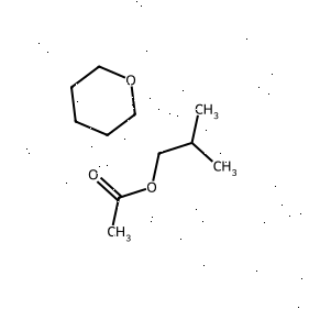 C1CCOCC1.CC(=O)OCC(C)C